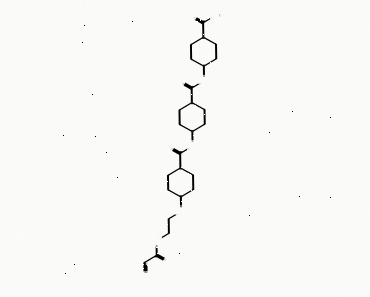 C=CC(=O)OCCOC1CCC(C(=O)OC2CCC(C(=O)OC3CCC(C(=O)O)CC3)CC2)CC1